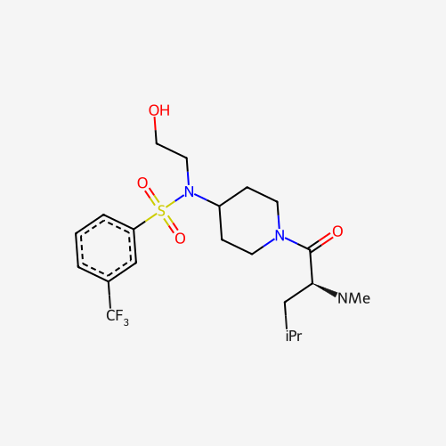 CN[C@@H](CC(C)C)C(=O)N1CCC(N(CCO)S(=O)(=O)c2cccc(C(F)(F)F)c2)CC1